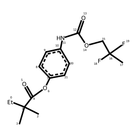 CCC(C)(C)C(=O)Oc1ccc(NC(=O)OCC(C)(F)F)cc1